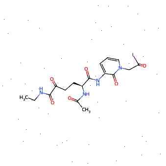 CCNC(=O)C(=O)CC[C@H](NC(C)=O)C(=O)Nc1cccn(CC(=O)I)c1=O